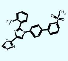 CS(=O)(=O)c1cccc(-c2ccc(-n3cc(-c4nnco4)nc3-c3ccccc3C(F)(F)F)cc2)c1